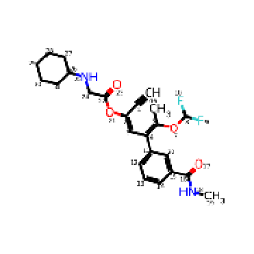 C#C/C(=C\C(=C(/C)OC(F)F)c1cccc(C(=O)NC)c1)OC(=O)CNC1CCCCC1